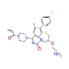 C=CC(=O)N1CCN(c2nc(=O)n3c4c(c(-c5ccc(F)cc5)c(C)cc24)SCC(OCCN)C3)CC1